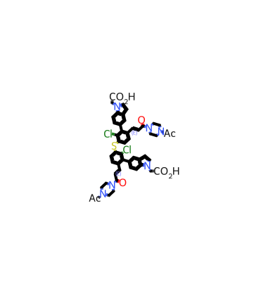 CC(=O)N1CCN(C(=O)/C=C/c2ccc(Sc3ccc(/C=C/C(=O)N4CCN(C(C)=O)CC4)c(-c4ccc5c(ccn5CC(=O)O)c4)c3Cl)c(Cl)c2-c2ccc3c(ccn3CC(=O)O)c2)CC1